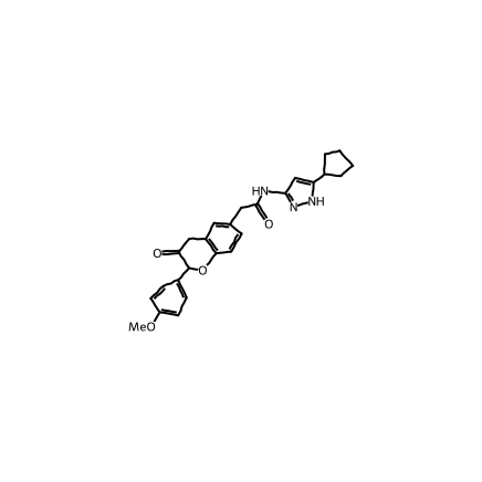 COc1ccc(C2Oc3ccc(CC(=O)Nc4cc(C5CCCC5)[nH]n4)cc3CC2=O)cc1